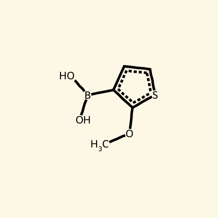 COc1sccc1B(O)O